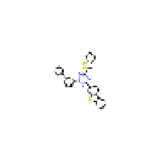 c1ccc(-c2cccc(-c3nc(-c4ccc5c(c4)sc4ccccc45)nc(-c4cc5ccccc5s4)n3)c2)cc1